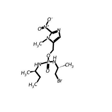 CC[C@@H](C)NP(=O)(N[C@H](C)CBr)OCc1cnc([N+](=O)[O-])n1C